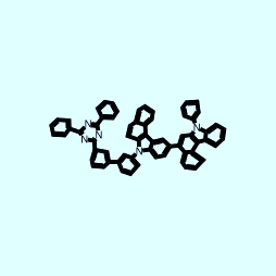 c1ccc(-c2nc(-c3ccccc3)nc(-c3cccc(-c4cccc(-n5c6ccc(-c7cc8c(c9ccccc79)c7ccccc7n8-c7ccccc7)cc6c6c7ccccc7ccc65)c4)c3)n2)cc1